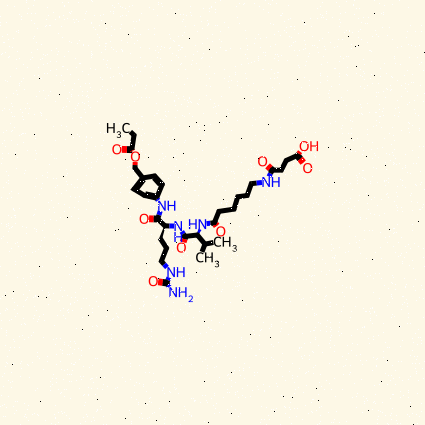 CCC(=O)OCc1ccc(NC(=O)[C@H](CCCNC(N)=O)NC(=O)[C@@H](NC(=O)CCCCCNC(=O)CCC(=O)O)C(C)C)cc1